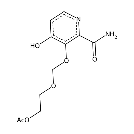 CC(=O)OCCOCOc1c(O)ccnc1C(N)=O